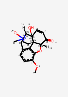 COc1ccc2c3c1O[C@H]1C(=O)C=C[C@@]4(O)[C@@H](C2)[N+](C)([O-])CC[C@]314